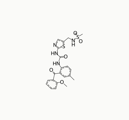 COc1ccccc1C(=O)c1cc(C)ccc1NC(=O)Nc1ncc(CNS(C)(=O)=O)s1